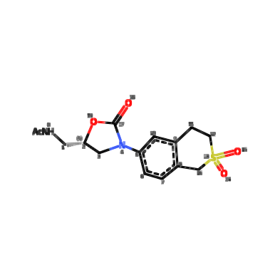 CC(=O)NC[C@H]1CN(c2ccc3c(c2)CCS(=O)(=O)C3)C(=O)O1